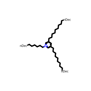 CCCCCCCCCCCCCCCCCCCc1cc(CCCCCCCCCCCCCCCCCCC)c[n+](CCCCCCCCCCCCCCCC)c1